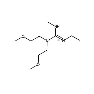 CC/N=C(\NC)N(CCOC)CCOC